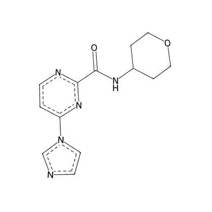 O=C(NC1CCOCC1)c1nccc(-n2ccnc2)n1